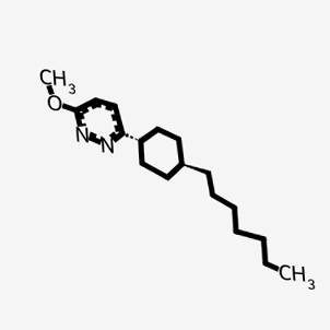 CCCCCCC[C@H]1CC[C@H](c2ccc(OC)nn2)CC1